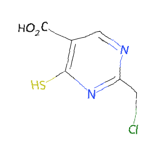 O=C(O)c1cnc(CCl)nc1S